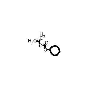 CC(C)OC(=O)OC1CCCCCCC1